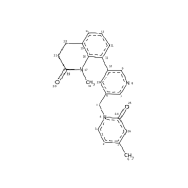 Cc1ccn(Cc2cncc(-c3cccc4c3N(C)C(=O)CC4)c2)c(=O)c1